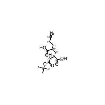 CC(C)(C)OC(=O)N[C@@H](C[C@H](CCC#N)C(=O)O)C(=O)O